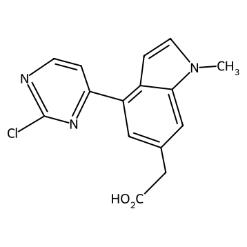 Cn1ccc2c(-c3ccnc(Cl)n3)cc(CC(=O)O)cc21